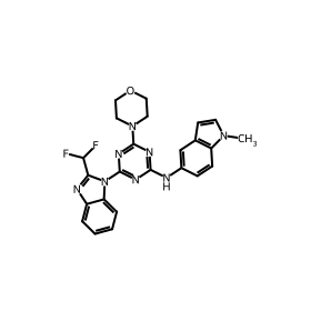 Cn1ccc2cc(Nc3nc(N4CCOCC4)nc(-n4c(C(F)F)nc5ccccc54)n3)ccc21